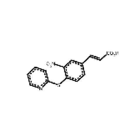 O=C(O)/C=C/c1ccc(Sc2ccccn2)c([N+](=O)[O-])c1